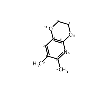 Cc1cc2c(nc1C)OCCO2